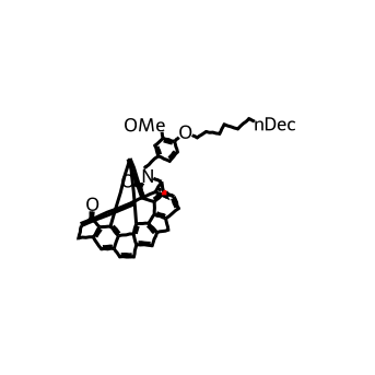 CCCCCCCCCCCCCCCCOc1ccc(Cn2c(=O)c3c4c5c6cc7ccc(cc8c(=O)c9c(cc%10ccc%11cc(c5c5c%11c%10c9c35)C6)C8)c2c74)cc1OC